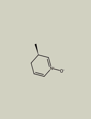 C[C@H]1C=[N+]([O-])C=CC1